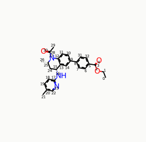 CCOC(=O)c1ccc(-c2ccc3c(c2)[C@H](Nc2ccc(C)cn2)C[C@H](C)N3C(C)=O)cc1